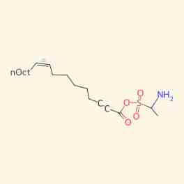 CCCCCCCC/C=C\CCCCCCCC(=O)OS(=O)(=O)C(C)N